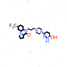 O=c1c2cccn2c2cc(C(F)(F)F)ccc2n1CCCN1CCN(C2=NNC(O)C=C2)CC1